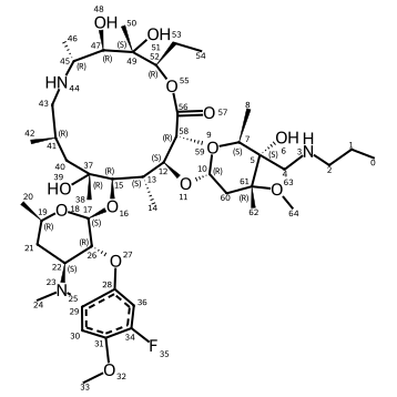 CCCNC[C@]1(O)[C@H](C)O[C@@H](O[C@H]2[C@H](C)[C@@H](O[C@@H]3O[C@H](C)C[C@H](N(C)C)[C@H]3Oc3ccc(OC)c(F)c3)[C@](C)(O)C[C@@H](C)CN[C@H](C)[C@@H](O)[C@](C)(O)[C@@H](CC)OC(=O)[C@@H]2C)C[C@@]1(C)OC